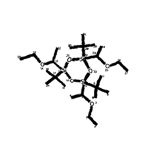 CCOC(C)[Si]1(C(C)(C)C)O[Si](C(C)OCC)(C(C)(C)C)O[Si](C(C)OCC)(C(C)(C)C)O1